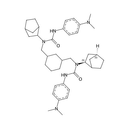 CN(C)c1ccc(NC(=O)N(CC2CCCC(CN(C(=O)Nc3ccc(N(C)C)cc3)[C@H]3C[C@H]4CCC3C4)C2)C2CC3CCC2C3)cc1